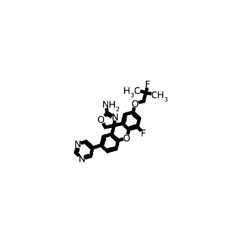 CC(C)(F)COc1cc(F)c2c(c1)C1(COC(N)=N1)c1cc(-c3cncnc3)ccc1O2